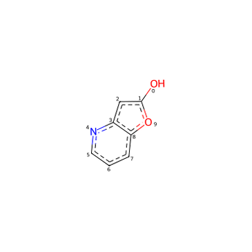 Oc1cc2ncccc2o1